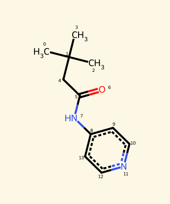 CC(C)(C)CC(=O)Nc1ccncc1